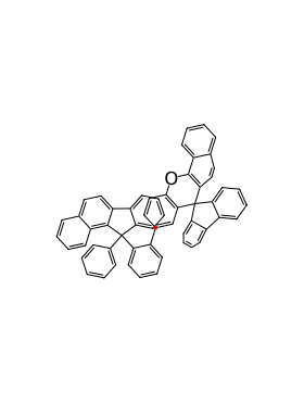 c1ccc(C2(c3ccccc3-c3ccc4c(c3)C3(c5ccccc5-c5ccccc53)c3ccc5ccccc5c3O4)c3ccccc3-c3ccc4ccccc4c32)cc1